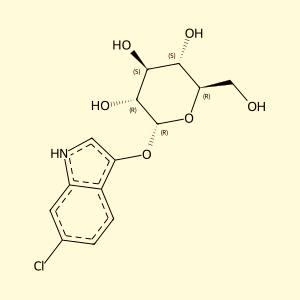 OC[C@H]1O[C@H](Oc2c[nH]c3cc(Cl)ccc23)[C@H](O)[C@@H](O)[C@@H]1O